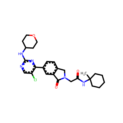 CC1(NC(=O)CN2Cc3ccc(-c4nc(NC5CCOCC5)ncc4Cl)cc3C2=O)CCCCC1